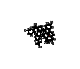 CC1=CCC(N2c3ccc(C(C)(C)C)cc3B3c4cc(C(C)(C)C)ccc4N(c4ccc(C)cc4-c4ccc(C(C)(C)C)cc4)c4ccc(C(C)(C)C)c2c43)C=C1